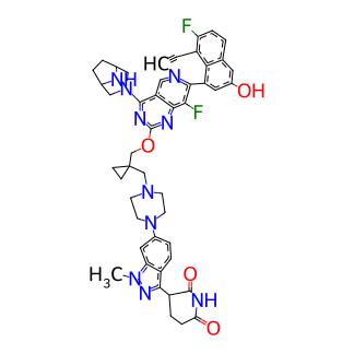 C#Cc1c(F)ccc2cc(O)cc(-c3ncc4c(N5CC6CCC(C5)N6)nc(OCC5(CN6CCN(c7ccc8c(C9CCC(=O)NC9=O)nn(C)c8c7)CC6)CC5)nc4c3F)c12